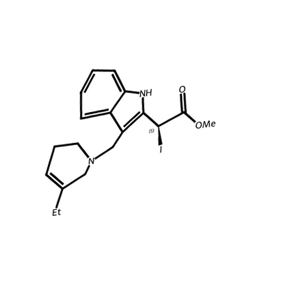 CCC1=CCCN(Cc2c([C@H](I)C(=O)OC)[nH]c3ccccc23)C1